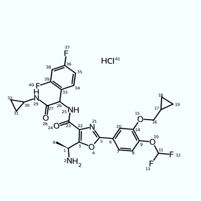 C[C@H](N)c1oc(-c2ccc(OC(F)F)c(OCC3CC3)c2)nc1C(=O)NC(C(=O)NC1CC1)c1ccc(F)cc1F.Cl